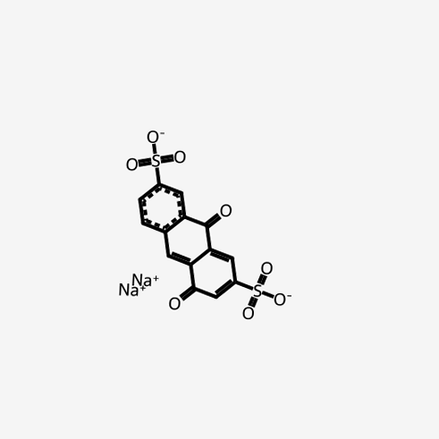 O=C1C=C(S(=O)(=O)[O-])C=C2C(=O)c3cc(S(=O)(=O)[O-])ccc3C=C12.[Na+].[Na+]